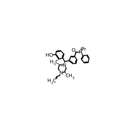 C=CCN1C[C@H](C)N([C@@H](c2cccc(O)c2)c2cccc(C(=O)N(c3ccccc3)C(C)C)c2)C[C@H]1C